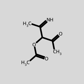 CC(=N)C(OC(C)=O)C(C)=O